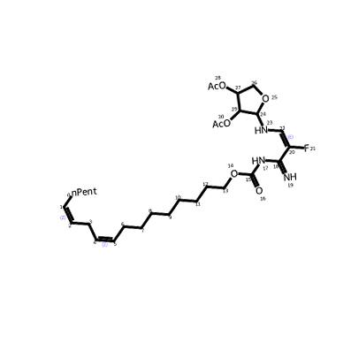 CCCCC/C=C\C/C=C\CCCCCCCCOC(=O)NC(=N)/C(F)=C\NC1OCC(OC(C)=O)C1OC(C)=O